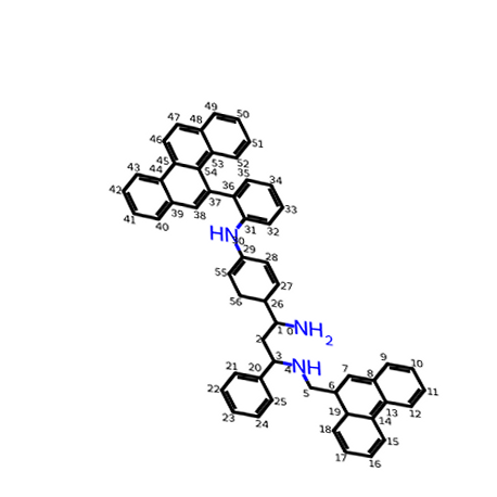 NC(CC(NCC1C=c2ccccc2=C2C=CC=CC21)c1ccccc1)C1C=CC(Nc2ccccc2-c2cc3ccccc3c3ccc4ccccc4c23)=CC1